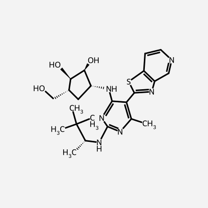 Cc1nc(N[C@H](C)C(C)(C)C)nc(N[C@@H]2C[C@H](CO)[C@@H](O)[C@H]2O)c1-c1nc2cnccc2s1